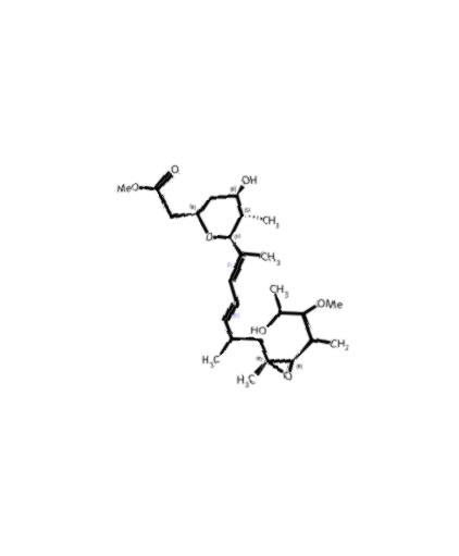 COC(=O)C[C@H]1C[C@@H](O)[C@H](C)[C@@H](/C(C)=C/C=C/C(C)C[C@@]2(C)O[C@@H]2C(C)C(OC)C(C)O)O1